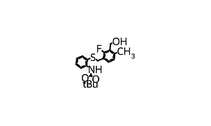 Cc1ccc(CSc2ccccc2NC(=O)OC(C)(C)C)c(F)c1CO